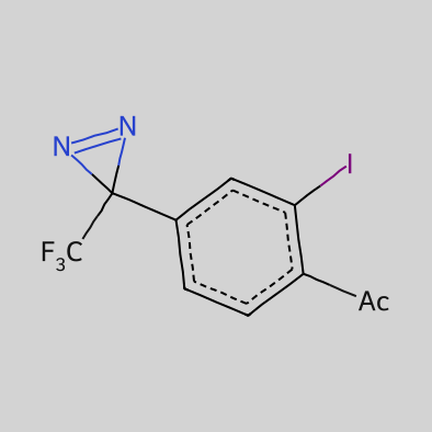 CC(=O)c1ccc(C2(C(F)(F)F)N=N2)cc1I